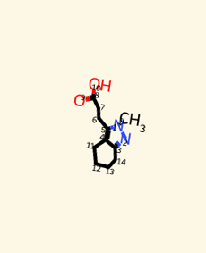 Cn1nc2c(c1CCC(=O)O)CCCC2